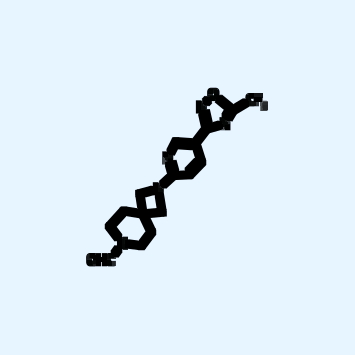 O=CN1CCC2(CC1)CN(c1ccc(-c3noc(C(F)(F)F)n3)cn1)C2